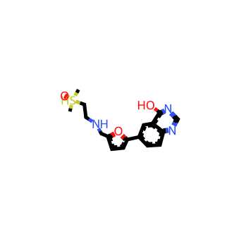 C[SH](C)(=O)CCNCc1ccc(-c2ccc3ncnc(O)c3c2)o1